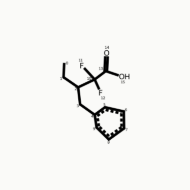 CCC(Cc1ccccc1)C(F)(F)C(=O)O